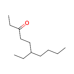 CCCCC(CC)CCC(=O)CC